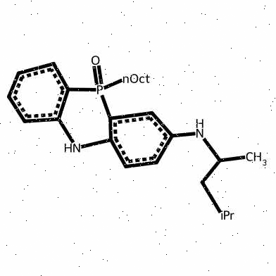 CCCCCCCCP1(=O)c2ccccc2Nc2ccc(NC(C)CC(C)C)cc21